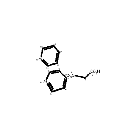 O=C(O)CS(=O)(=O)O.c1ccncc1.c1ccncc1